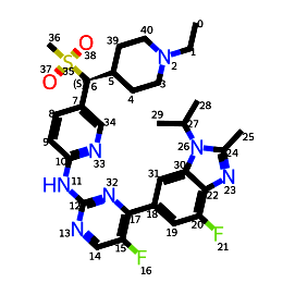 CCN1CCC([C@@H](c2ccc(Nc3ncc(F)c(-c4cc(F)c5nc(C)n(C(C)C)c5c4)n3)nc2)S(C)(=O)=O)CC1